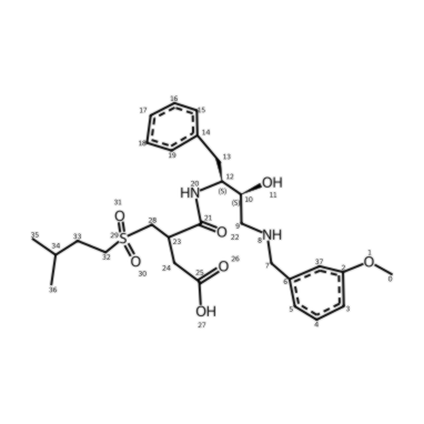 COc1cccc(CNC[C@H](O)[C@H](Cc2ccccc2)NC(=O)C(CC(=O)O)CS(=O)(=O)CCC(C)C)c1